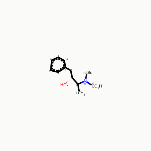 CC([C@H](O)Cc1ccccc1)N(C(=O)O)C(C)(C)C